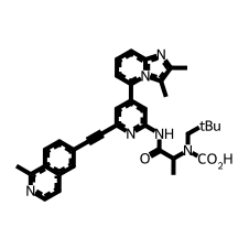 Cc1nc2cccc(-c3cc(C#Cc4ccc5c(C)nccc5c4)nc(NC(=O)C(C)N(CC(C)(C)C)C(=O)O)c3)n2c1C